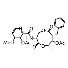 COc1ccnc(C(=O)N[C@H]2COC(=O)[C@H](Cc3ccccc3)[C@@H](OC(C)=O)[C@H](C)OC2=O)c1OC(C)=O